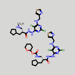 O=C(NC[C@@H](CC1CCCC1)C(=O)NNc1nc(Cl)nc(NCc2cscn2)c1F)OC1CCCCO1.O=C(O)NC[C@@H](CC1CCCC1)C(=O)NNc1nc(Cl)nc(NCc2cscn2)c1F